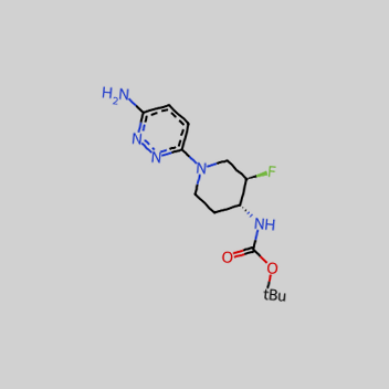 CC(C)(C)OC(=O)N[C@@H]1CCN(c2ccc(N)nn2)C[C@H]1F